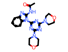 CC(=O)Nc1nc2ccccc2n1-c1nc(N2CCOCC2)nc(N2CCOCC2)n1